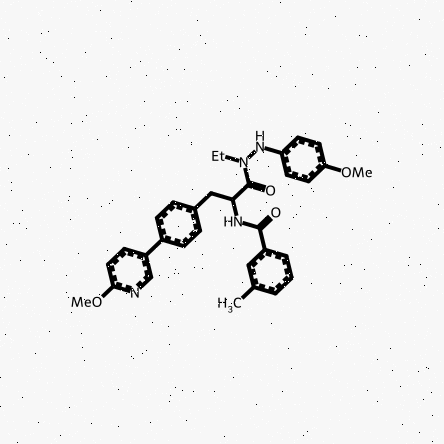 CCN(Nc1ccc(OC)cc1)C(=O)C(Cc1ccc(-c2ccc(OC)nc2)cc1)NC(=O)c1cccc(C)c1